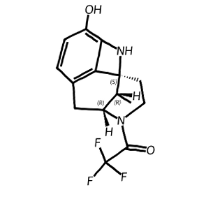 C[C@@H]1[C@H]2Cc3ccc(O)c4c3[C@@]1(CCN2C(=O)C(F)(F)F)N4